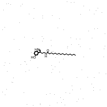 CCCCCCCCCCCCCCCC(=O)NCCc1c[nH]c2ccc(O)cc12